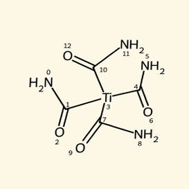 N[C](=O)[Ti]([C](N)=O)([C](N)=O)[C](N)=O